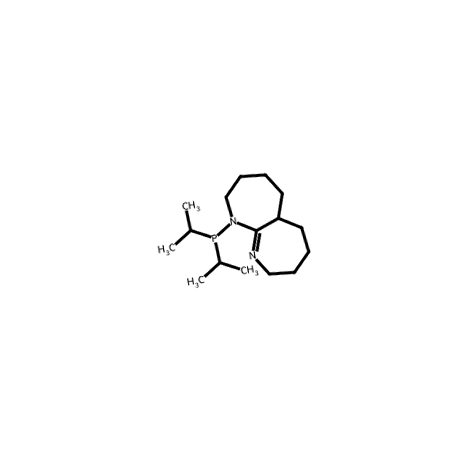 CC(C)P(C(C)C)N1CCCCC2CCCCN=C21